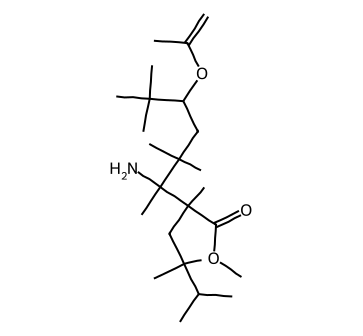 C=C(C)OC(CC(C)(C)C(C)(N)C(C)(CC(C)(C)C(C)C)C(=O)OC)C(C)(C)C